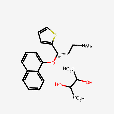 CNCC[C@H](Oc1cccc2ccccc12)c1cccs1.O=C(O)C(O)C(O)C(=O)O